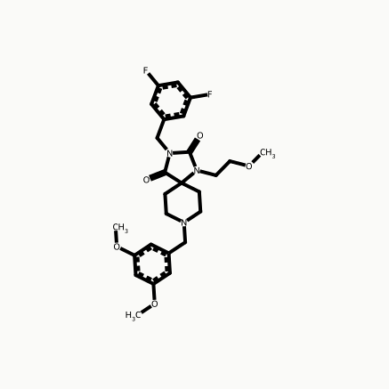 COCCN1C(=O)N(Cc2cc(F)cc(F)c2)C(=O)C12CCN(Cc1cc(OC)cc(OC)c1)CC2